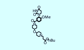 CCCCOC(=O)CCN1CCC(OC2CCN(C(=O)c3ccc(OC)c(N4CCC(=O)NC4=O)c3)CC2)CC1